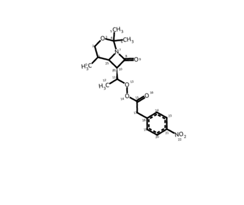 CC1COC(C)(C)N2C(=O)[C@@H](C(C)OOC(=O)Cc3ccc([N+](=O)[O-])cc3)C12